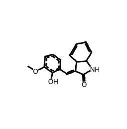 COc1cccc(/C=C2/C(=O)NC3C=CC=CC23)c1O